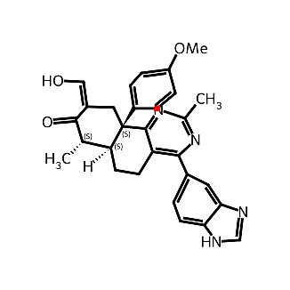 COc1ccc([C@]23CC(=CO)C(=O)[C@@H](C)[C@@H]2CCc2c(-c4ccc5[nH]cnc5c4)nc(C)nc23)cc1